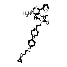 Cn1c(=O)n(CCN2CCN(c3ccc(OCCOC4CC4)cc3)CC2)c2nc3c(n21)C(c1ccco1)=NCN3N